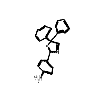 Nc1ccc(C2=NC(c3ccccc3)(c3ccccc3)C=N2)cc1